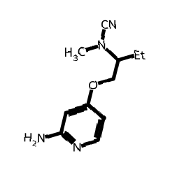 CCC(COc1ccnc(N)c1)N(C)C#N